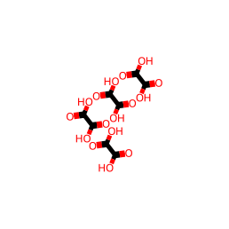 O=C(O)C(=O)O.O=C(O)C(=O)O.O=C(O)C(=O)O.O=C(O)C(=O)O